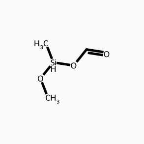 CO[SiH](C)OC=O